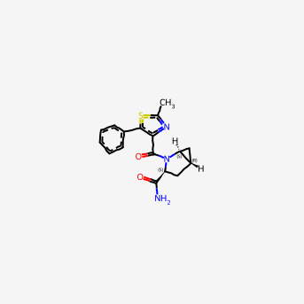 Cc1nc(C(=O)N2[C@H](C(N)=O)C[C@H]3C[C@@H]32)c(-c2ccccc2)s1